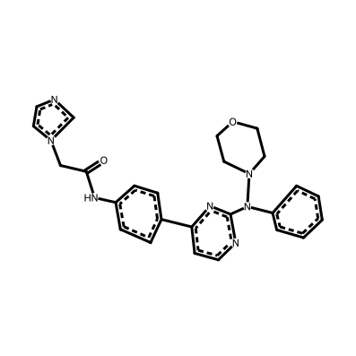 O=C(Cn1ccnc1)Nc1ccc(-c2ccnc(N(c3ccccc3)N3CCOCC3)n2)cc1